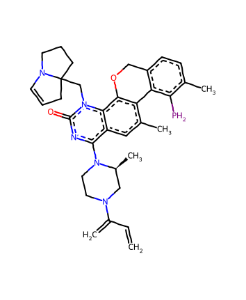 C=CC(=C)N1CCN(c2nc(=O)n(CC34CC=CN3CCC4)c3c4c(c(C)cc23)-c2c(ccc(C)c2P)CO4)[C@@H](C)C1